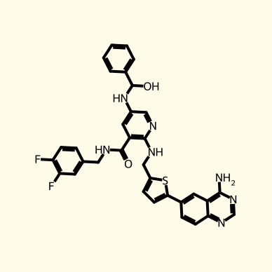 Nc1ncnc2ccc(-c3ccc(CNc4ncc(NC(O)c5ccccc5)cc4C(=O)NCc4ccc(F)c(F)c4)s3)cc12